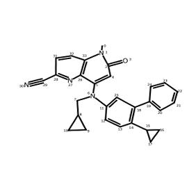 Cn1c(=O)cc(N(CC2CC2)c2ccc(C3CC3)c(-c3ccccc3)c2)c2nc(C#N)ccc21